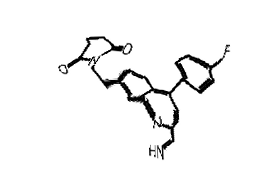 N=Cc1cc(-c2ccc(F)cc2)c2ccc(CN3C(=O)CCC3=O)cc2n1